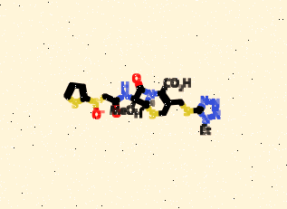 CCn1nnnc1SCC1=C(C(=O)O)N2C(=O)[C@](NC(=O)C[S+]([O-])c3cccs3)(OC)[C@@H]2SC1